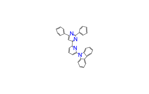 c1ccc(-c2cc(-c3cccc(-n4c5ccccc5c5ccccc54)n3)nc(-c3ccccc3)n2)cc1